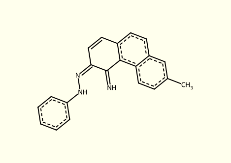 Cc1ccc2c3c(ccc2c1)C=C/C(=N/Nc1ccccc1)C3=N